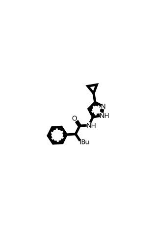 CCC(C)C(C(=O)Nc1cc(C2CC2)n[nH]1)c1ccccc1